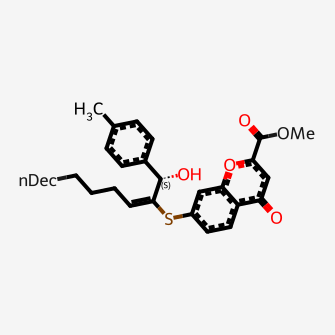 CCCCCCCCCCCCCC=C(Sc1ccc2c(=O)cc(C(=O)OC)oc2c1)[C@@H](O)c1ccc(C)cc1